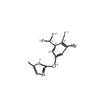 Cc1cnc(Oc2cc(Br)c(F)c(C(F)F)c2)s1